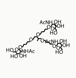 CC(=O)NC1C(O)=C(O)C(CO)O[C@H]1OCCCCCOC(CCOCCCCCO[C@@H]1OC(CO)[C@H](O)C(O)C1NC(C)=O)C(C)COCCCCCO[C@@H]1OC(CO)[C@H](O)C(O)C1NC(C)=O